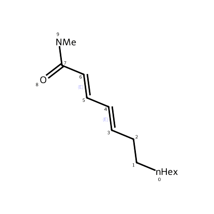 CCCCCCCC/C=C/C=C/C(=O)NC